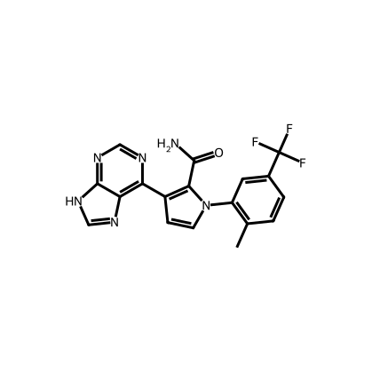 Cc1ccc(C(F)(F)F)cc1-n1ccc(-c2ncnc3[nH]cnc23)c1C(N)=O